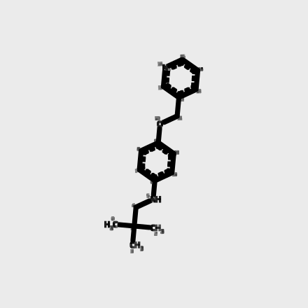 CC(C)(C)CNc1ccc(OCc2cccnc2)cc1